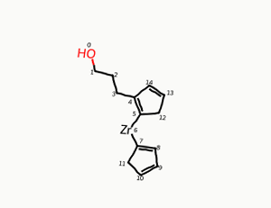 OCCCC1=[C]([Zr][C]2=CC=CC2)CC=C1